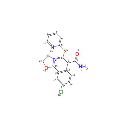 NC(=O)C(CSc1ccccn1)c1ccc(Cl)cc1C1=NCCO1